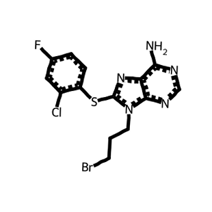 Nc1ncnc2c1nc(Sc1ccc(F)cc1Cl)n2CCCBr